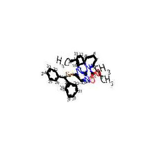 COC(=O)[N+]12C(C)=CC=CC13CC=CC(C)=C3n1c(SC(c3ccccc3)c3ccccc3)cnc12